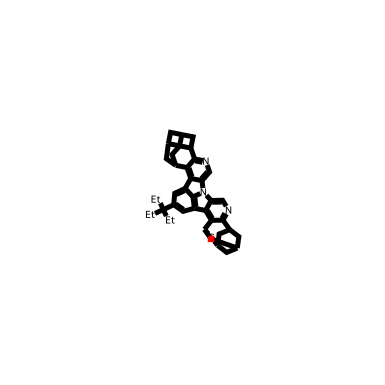 CCC(CC)(CC)c1cc2c3c4c(ncc3n3c5cnc6c(c5c(c1)c23)C1CC2CC3CC6C23C1)C1CC2CC(C1)CC4C2